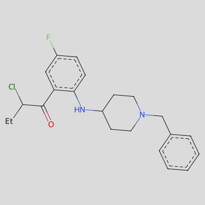 CCC(Cl)C(=O)c1cc(F)ccc1NC1CCN(Cc2ccccc2)CC1